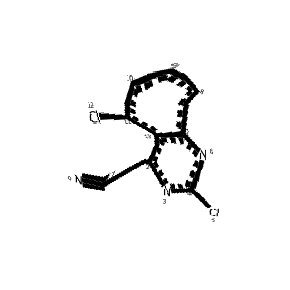 N#Cc1nc(Cl)nc2cccc(Cl)c12